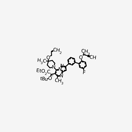 C#C[C@H](C)Oc1ccc(F)cc1-c1cccc(-c2cc3nc(C)c([C@H](OC(C)(C)C)C(=O)OCC)c(N4CCC(C)(OCC=C)CC4)n3n2)c1